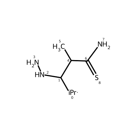 C[C](C)C(NN)C(C)C(N)=S